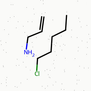 C=CCN.CCCCCCl